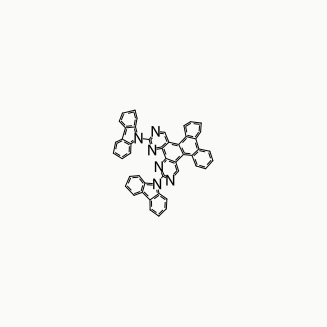 c1ccc2c(c1)c1ccccc1c1c3cnc(-n4c5ccccc5c5ccccc54)nc3c3nc(-n4c5ccccc5c5ccccc54)ncc3c21